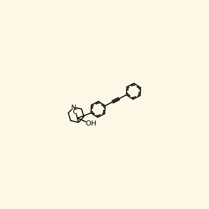 OC1(c2ccc(C#Cc3ccccc3)cc2)CN2CCC1CC2